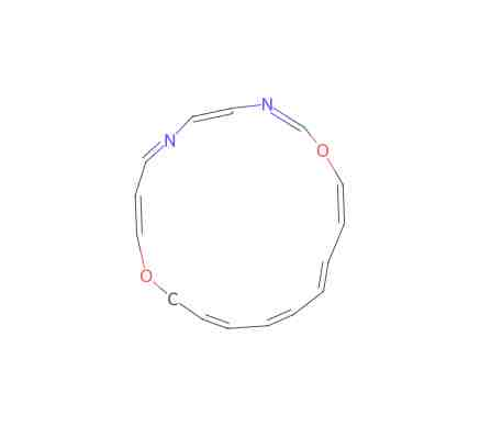 [C]1=C\N=C/C=C\OC\C=C/C=C\C=C/C=C\O\C=N/1